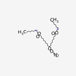 CCCCCC/C=C\COC(=O)CCCCCCCCC(CCCCCCCC(=O)OC/C=C\CCCCCC)OCOCCN1CCCC1